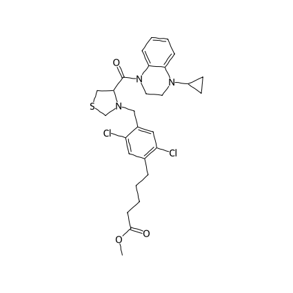 COC(=O)CCCCc1cc(Cl)c(CN2CSCC2C(=O)N2CCN(C3CC3)c3ccccc32)cc1Cl